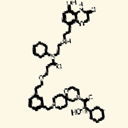 O=C1COc2c(CCNCCN(C(=O)CCOCCc3cccc(CN4CCC5(CC4)CN(C(=O)[C@@H](O)C4CCCCC4)CCO5)c3)C3CCCCC3)ccc(O)c2N1